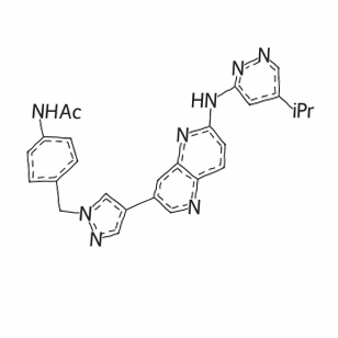 CC(=O)Nc1ccc(Cn2cc(-c3cnc4ccc(Nc5cc(C(C)C)cnn5)nc4c3)cn2)cc1